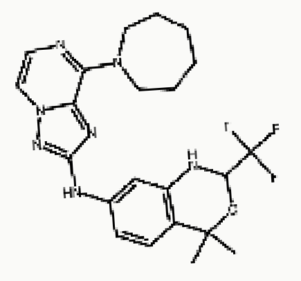 CC1(C)OC(C(F)(F)F)Nc2cc(Nc3nc4c(N5CCCCCC5)nccn4n3)ccc21